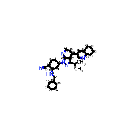 CC(C)c1nn(-c2ccc(C#N)c(NCc3ccccc3)c2)c2nccc(-c3cnc4ccccc4c3)c12